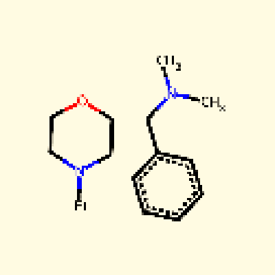 CCN1CCOCC1.CN(C)Cc1ccccc1